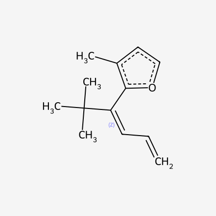 C=C/C=C(\c1occc1C)C(C)(C)C